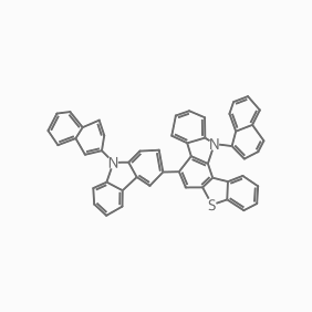 c1ccc2cc(-n3c4ccccc4c4cc(-c5cc6sc7ccccc7c6c6c5c5ccccc5n6-c5cccc6ccccc56)ccc43)ccc2c1